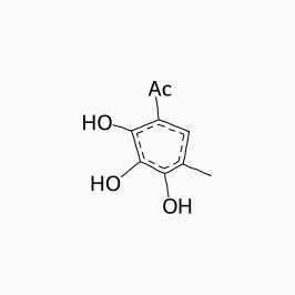 CC(=O)c1cc(C)c(O)c(O)c1O